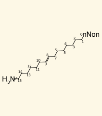 CCCCCCCCCCCCCCCCC=CCCCCCCN